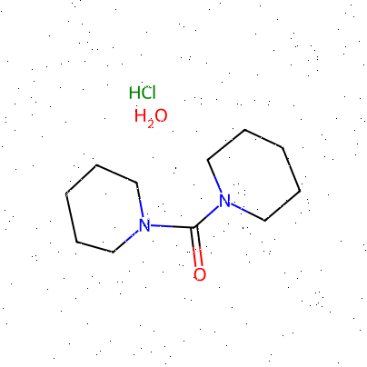 Cl.O.O=C(N1CCCCC1)N1CCCCC1